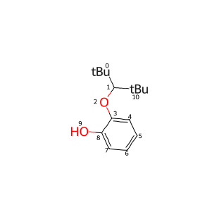 CC(C)(C)C(Oc1ccccc1O)C(C)(C)C